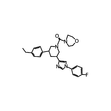 CCc1ccc(C2CC(c3cn(-c4ccc(F)cc4)cn3)CN(C(=O)N3CCOCC3)C2)cc1